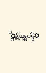 O=C(CSc1nnc(C2=NNC(c3cc(Cl)cc(Cl)c3)(C(F)(F)F)C2)o1)Nc1ccccc1Cl